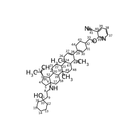 C=C(C)[C@@H]1CCC2(NCCC3(O)CCCCC3)CCC3C(CCC4C5(C)CC=C(C6=CCC(COc7ncccc7C#N)CC6)C(C)C5CCC34C)C12